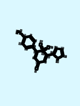 CC(C)c1ccc(C2=CC(=O)C=C(c3cccs3)S2(=O)=O)cc1